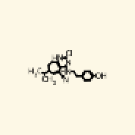 CC(C)C1C=C(C#N)C2=C(CC1)NC(Cl)N=C2NCCc1ccc(O)cc1